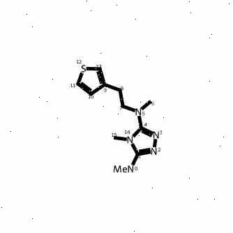 CNc1nnc(N(C)CCc2ccsc2)n1C